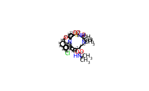 CC(C)NC(=O)O[C@H]1/C=C/CN(C)C(C)(C)C(=O)NS(=O)(=O)c2ccc3c(c2)N(C[C@@H]2CC[C@H]21)C[C@@]1(CCCc2cc(Cl)ccc21)CO3